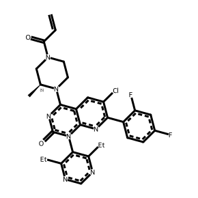 C=CC(=O)N1CCN(c2nc(=O)n(-c3c(CC)ncnc3CC)c3nc(-c4ccc(F)cc4F)c(Cl)cc23)[C@@H](C)C1